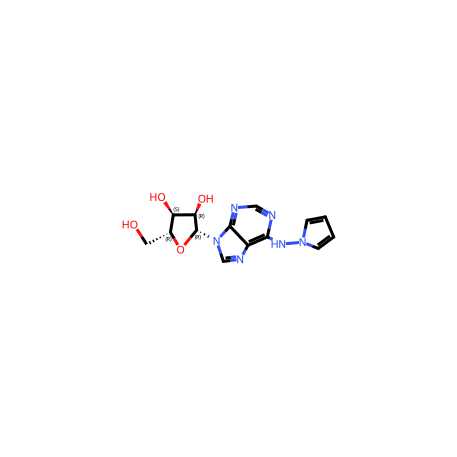 OC[C@H]1O[C@@H](n2cnc3c(Nn4cccc4)ncnc32)[C@H](O)[C@@H]1O